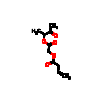 C=CCC(=O)OCC(=O)OC(C)C(C)=O